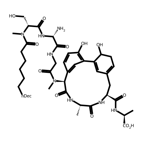 CCCCCCCCCCCCCCCC(=O)N(C)[C@H](CO)C(=O)N[C@H](N)C(=O)NCC(=O)N(C)[C@@H]1C(=O)N[C@@H](C)C(=O)N[C@H](C(=O)N[C@@H](C)C(=O)O)CC2=CCC(O)C(=C2)c2cc1ccc2O